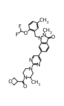 Cc1ccc(OC(F)F)c(Cn2c3cc(-c4cnc(N5CCN(C(=O)C6COC6)C(C)C5)nc4)ccc3c(=O)n2C)c1